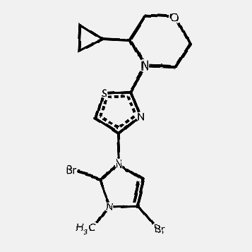 CN1C(Br)=CN(c2csc(N3CCOCC3C3CC3)n2)C1Br